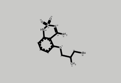 CC(COc1cccc2c1C(N)=NS(=O)(=O)N2)CC(C)(C)C